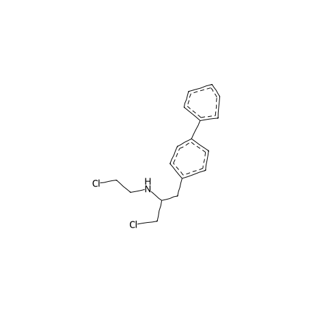 ClCCNC(CCl)Cc1ccc(-c2ccccc2)cc1